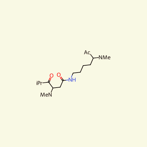 CNC(CCCCNC(=O)CC(NC)C(=O)C(C)C)C(C)=O